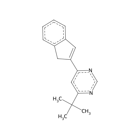 CC(C)(C)c1cc(C2=Cc3ccccc3C2)ncn1